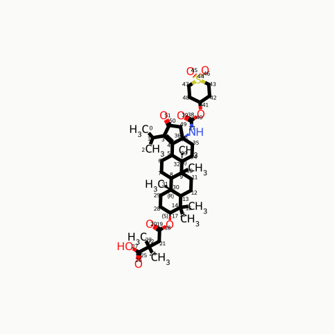 CC(C)C1=C2C3CCC4C(C)(CCC5C(C)(C)[C@@H](OC(=O)CC(C)(C)C(=O)O)CC[C@@]54C)[C@]3(C)CC[C@@]2(NC(=O)OC2CCS(=O)(=O)CC2)CC1=O